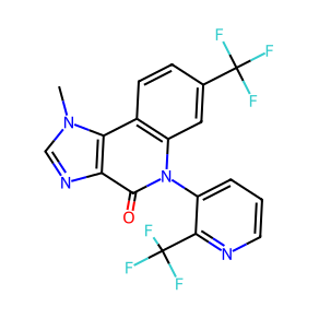 Cn1cnc2c(=O)n(-c3cccnc3C(F)(F)F)c3cc(C(F)(F)F)ccc3c21